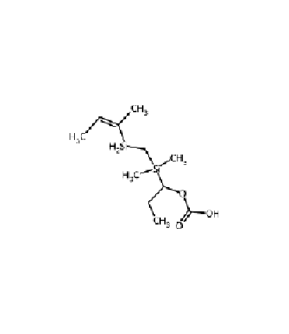 CC=C(C)[SiH2]C[Si](C)(C)C(CC)OC(=O)O